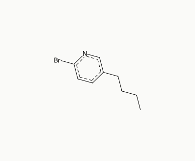 CCCCc1ccc(Br)nc1